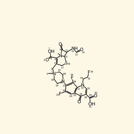 C[N+]1(CC2=C(C(=O)O)N3C(=O)C(NC=O)C3SC2)CCN(c2c(F)cc3c(=O)c(C(=O)O)cn(CCF)c3c2F)CC1